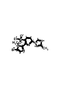 CCS(=O)(=O)c1ccc(-n2cnc(C)n2)nc1-c1ncc(Br)n1C